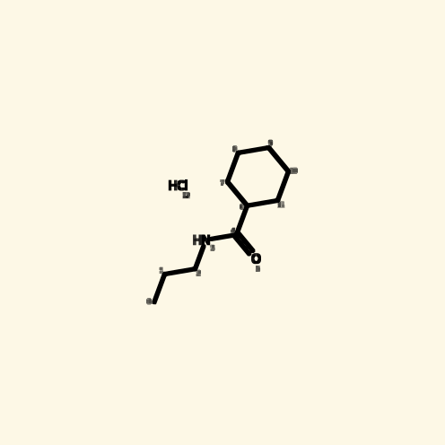 CCCNC(=O)C1CCCCC1.Cl